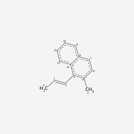 [CH2]C=Cc1c(C)ccc2ccccc12